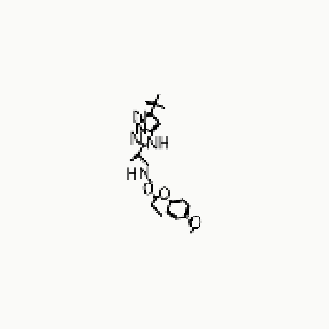 CCC(OCNCC(C)c1nn2nc(C(C)(C)C)cc2[nH]1)Oc1ccc(OC)cc1